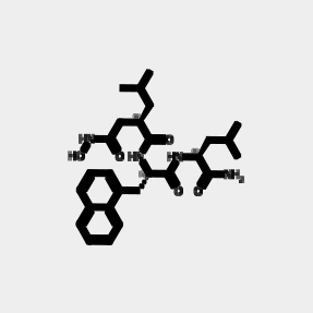 CC(C)C[C@H](CC(=O)NO)C(=O)N[C@@H](Cc1cccc2ccccc12)C(=O)N[C@@H](CC(C)C)C(N)=O